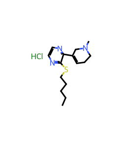 CCCCCSc1nccnc1C1=CCCN(C)C1.Cl